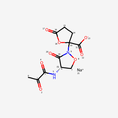 CC(=O)C(=O)N[C@H]1CON(C2(C(=O)[O-])CCC(=O)O2)C1=O.[Na+]